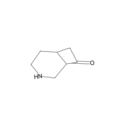 O=C1CC2CCNCC12